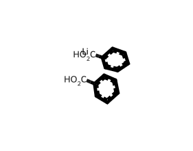 O=C(O)c1ccccc1.O=C(O)c1ccccc1.[Li]